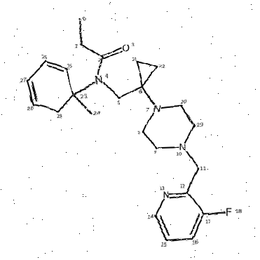 CCC(=O)N(CC1(N2CCN(Cc3ncccc3F)CC2)CC1)C1(C)C=CC=CC1